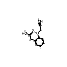 C#CCOc1ccccc1CC(=O)O